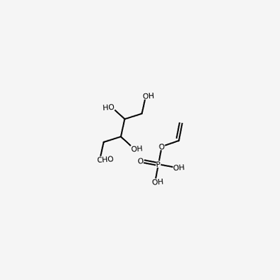 C=COP(=O)(O)O.O=CCC(O)C(O)CO